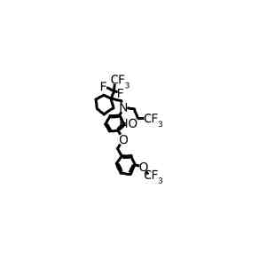 OC(CN(CC1(C(F)(F)C(F)(F)F)CCCCC1)c1cccc(OCc2cccc(OC(F)(F)F)c2)c1)C(F)(F)F